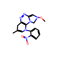 CON1C=C2N=NC3=C(N2C1)N(c1ccccc1[N+](=O)[O-])C=C(C)C3